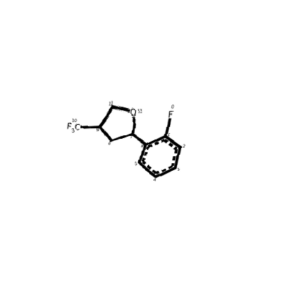 Fc1ccccc1C1CC(C(F)(F)F)CO1